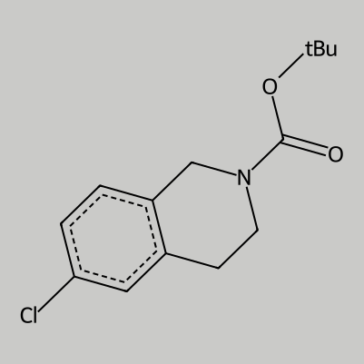 CC(C)(C)OC(=O)N1CCc2cc(Cl)ccc2C1